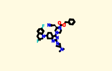 CN(C)C1CN(c2nc3c(c(N4CCN(C(=O)OCc5ccccc5)[C@@H](CC#N)C4)n2)CCC(N2C[C@@H](F)Cc4ccc(F)cc42)C3)C1